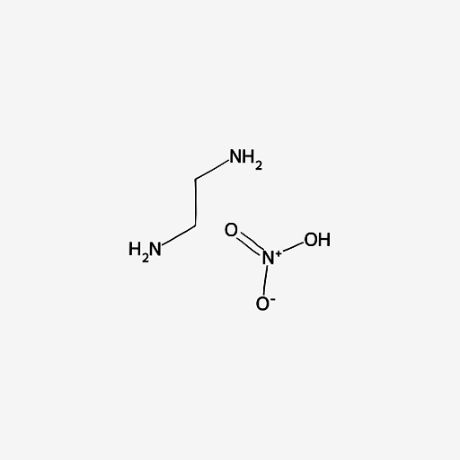 NCCN.O=[N+]([O-])O